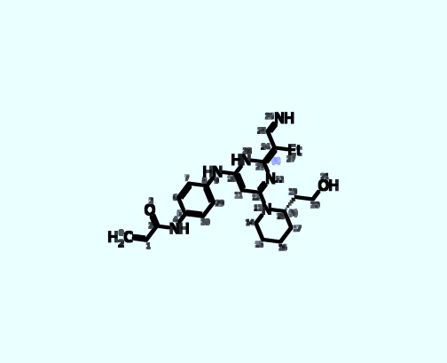 C=CC(=O)Nc1ccc(NC2=CC(N3CCCC[C@H]3CCO)=N/C(=C(/C=N)CC)N2)cc1